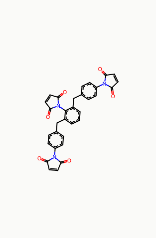 O=C1C=CC(=O)N1c1ccc(Cc2cccc(Cc3ccc(N4C(=O)C=CC4=O)cc3)c2N2C(=O)C=CC2=O)cc1